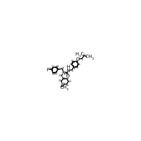 CC(C)COc1ccc(CNC(=O)N(Cc2ccc(F)cc2)C[C@H]2CCCN(C)C2)cc1